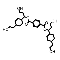 O=C(OC(CCO)C1CCC(CCO)CC1)c1ccc(C(=O)OC(CCO)C2CCC(CCO)CC2)cc1